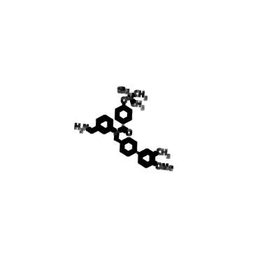 COc1ccc([C@H]2CC[C@H](CN(c3cccc(CN)c3)C(=O)[C@H]3CC[C@H](O[Si](C)(C)C(C)(C)C)CC3)CC2)cc1C